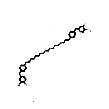 CCc1cc(Cc2ccc(CCCCCCCCCCCCCCCCCCc3ccc(Cc4ccc(N)c(CC)c4)cc3)cc2)ccc1N